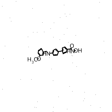 COc1cccc(CNc2ccc(-c3ccc(C(=O)NO)cc3)cc2)c1